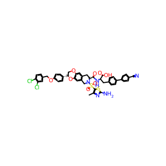 Cc1nc(N)sc1S(=O)(=O)N1Cc2cc3c(cc2C[C@H]1C(=O)NC(Cc1ccc(-c2ccc(C#N)cc2)cc1)C(=O)O)OC[C@@H](c1ccc(OCc2ccc(Cl)c(Cl)c2)cc1)O3